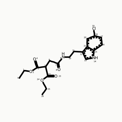 CCOC(=O)C(CC(=O)NCCc1c[nH]c2ccc(Cl)cc12)C(=O)OCC